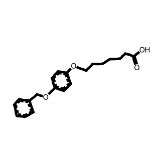 O=C(O)CCCCCCOc1ccc(OCc2ccccc2)cc1